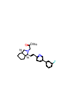 COC(=O)CN1C[C@@H]2CCCC[C@@H]2[C@@H]1/C=C/c1ccc(-c2cccc(F)c2)cn1